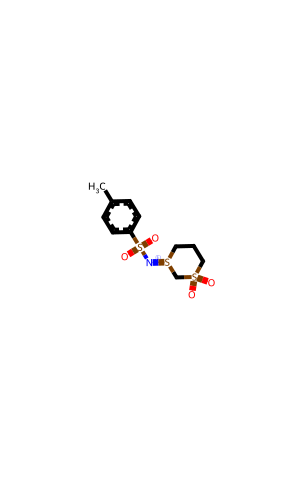 Cc1ccc(S(=O)(=O)/N=S2\CCCS(=O)(=O)C2)cc1